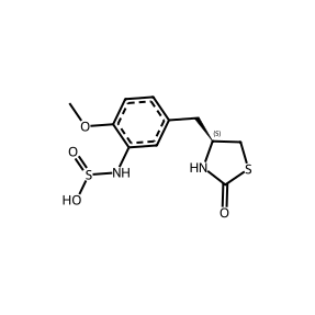 COc1ccc(C[C@H]2CSC(=O)N2)cc1NS(=O)O